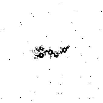 CN(C)C(=O)[C@@H]1COC[C@@H]1n1c(Cc2cc(F)c(-c3cccc(OCc4ccc(C#N)cc4F)n3)cc2F)nc2ccc(C(=O)O)cc21